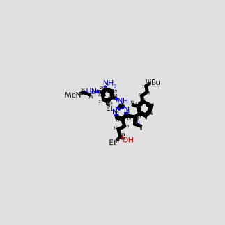 C/C=C(\c1cccc(CCCC(C)CC)c1C)c1nc(Nc2cc(N)c(NCCNC)cc2CC)ncc1CCC(O)CC